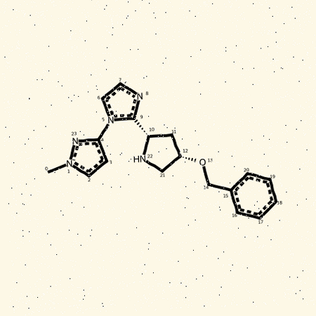 Cn1ccc(-n2ccnc2[C@@H]2C[C@H](OCc3ccccc3)CN2)n1